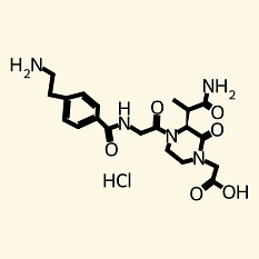 CC(C(N)=O)[C@H]1C(=O)N(CC(=O)O)CCN1C(=O)CNC(=O)c1ccc(CCN)cc1.Cl